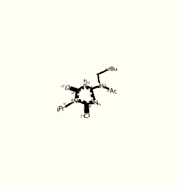 CC(=O)N(CC(C)(C)C)c1nc(=O)n(C(C)C)c(=O)[nH]1